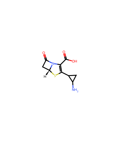 NC1CC1C1=C(C(=O)O)N2C(=O)C[C@H]2S1